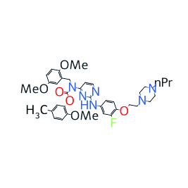 CCCN1CCN(CCOc2ccc(Nc3nccc(N(Cc4cc(OC)ccc4OC)C(=O)Oc4cc(C)ccc4OC)n3)cc2F)CC1